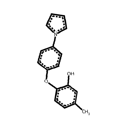 Cc1ccc(Oc2ccc(-n3cccc3)cc2)c(O)c1